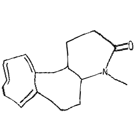 CN1C(=O)CCC2c3ccccc3CCC21